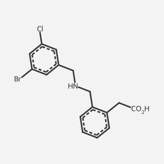 O=C(O)Cc1ccccc1CNCc1cc(Cl)cc(Br)c1